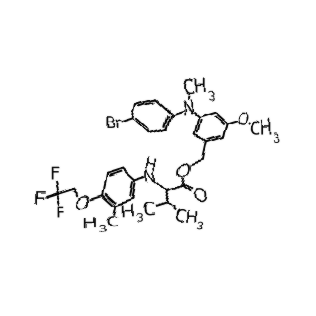 COc1cc(COC(=O)C(Nc2ccc(OCC(F)(F)F)c(C)c2)C(C)C)cc(N(C)c2ccc(Br)cc2)c1